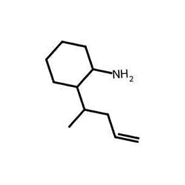 C=CCC(C)C1CCCCC1N